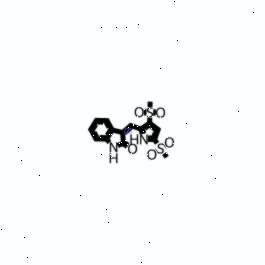 CS(=O)(=O)c1cc(S(C)(=O)=O)c(/C=C2\C(=O)Nc3ccccc32)[nH]1